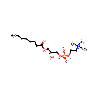 CCCCCCCC(=O)OC[C@@H](O)COP(=O)([O-])OCC[N+](C)(C)C